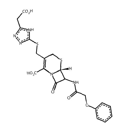 O=C(O)Cc1nnc(SCC2=C(C(=O)O)N3C(=O)C(NC(=O)COc4ccccc4)[C@H]3SC2)[nH]1